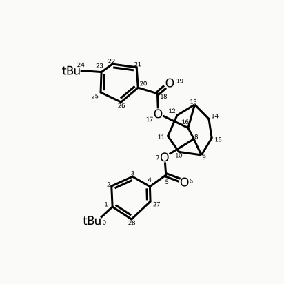 CC(C)(C)c1ccc(C(=O)OC2C3CCCC(CC3)C2OC(=O)c2ccc(C(C)(C)C)cc2)cc1